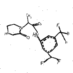 CC(C(=O)Nc1cc(C(F)F)cc(C(F)(F)F)c1)N1CCNCC1=O